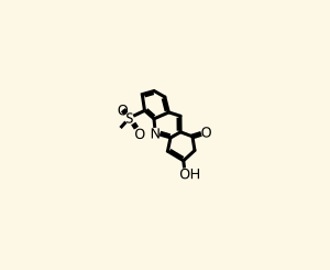 CS(=O)(=O)c1cccc2cc3c(nc12)C=C(O)CC3=O